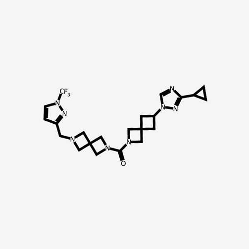 O=C(N1CC2(CC(n3cnc(C4CC4)n3)C2)C1)N1CC2(CN(Cc3ccn(C(F)(F)F)n3)C2)C1